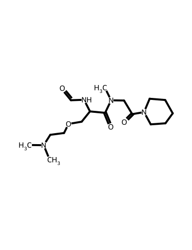 CN(C)CCOCC(NC=O)C(=O)N(C)CC(=O)N1CCCCC1